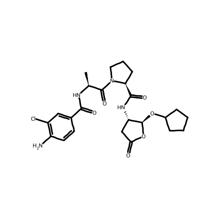 C[C@H](NC(=O)c1ccc(N)c(Cl)c1)C(=O)N1CCC[C@H]1C(=O)N[C@H]1CC(=O)O[C@@H]1OC1CCCC1